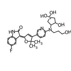 CC1(C)O/C(=C2/C(=O)Nc3ccc(F)cc32)C=C1c1ccc(N(CCCO)C2CS(O)(O)CC2O)nc1